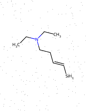 CCN(CC)CCC=C[SiH3]